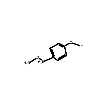 CCOc1ccc([SiH2]O[SiH3])cc1